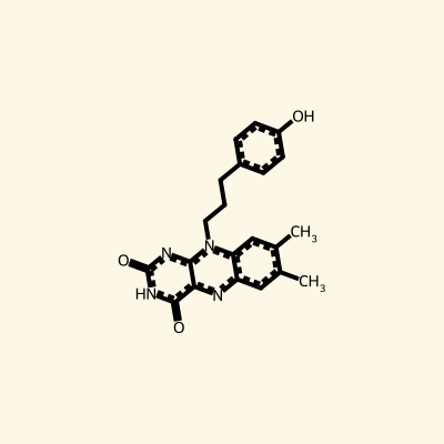 Cc1cc2nc3c(=O)[nH]c(=O)nc-3n(CCCc3ccc(O)cc3)c2cc1C